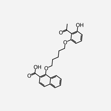 CC(=O)c1c(O)cccc1OCCCCCOc1c(C(=O)O)ccc2ccccc12